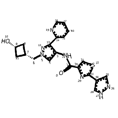 O=C(Nc1cn(C[C@H]2C[C@@H](O)C2)nc1-c1ccccn1)c1csc(-c2cn[nH]c2)n1